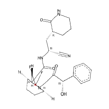 N#C[C@@H](C[C@H]1CCCNC1=O)NC(=O)[C@H]1[C@@H]2CC[C@@H](CC2(F)F)N1C(=O)[C@@H](O)c1ccccc1